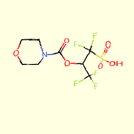 O=C(OC(C(F)(F)F)C(F)(F)S(=O)(=O)O)N1CCOCC1